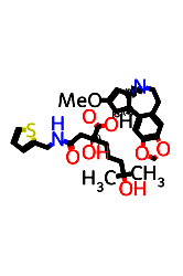 COC1=C[C@]23CCCN2CCc2cc4c(cc2[C@@H]3[C@@H]1OC(=O)[C@@](O)(CCCC(C)(C)O)CC(=O)NCc1cccs1)OCO4